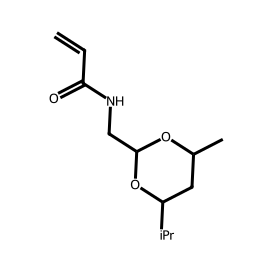 C=CC(=O)NCC1OC(C)CC(C(C)C)O1